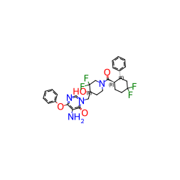 Nc1c(Oc2ccccc2)ncn(C[C@]2(O)CCN(C(=O)[C@@H]3CCC(F)(F)C[C@H]3c3ccccc3)CC2(F)F)c1=O